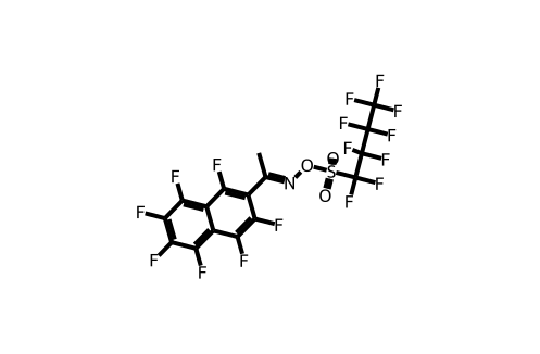 C/C(=N\OS(=O)(=O)C(F)(F)C(F)(F)C(F)(F)C(F)(F)F)c1c(F)c(F)c2c(F)c(F)c(F)c(F)c2c1F